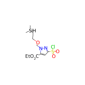 CCOC(=O)c1cc(S(=O)(=O)Cl)nn1COCC[SiH](C)C